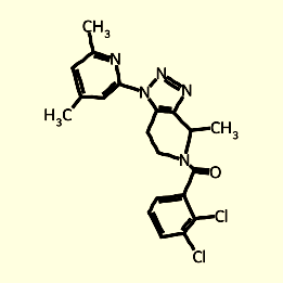 Cc1cc(C)nc(-n2nnc3c2CCN(C(=O)c2cccc(Cl)c2Cl)C3C)c1